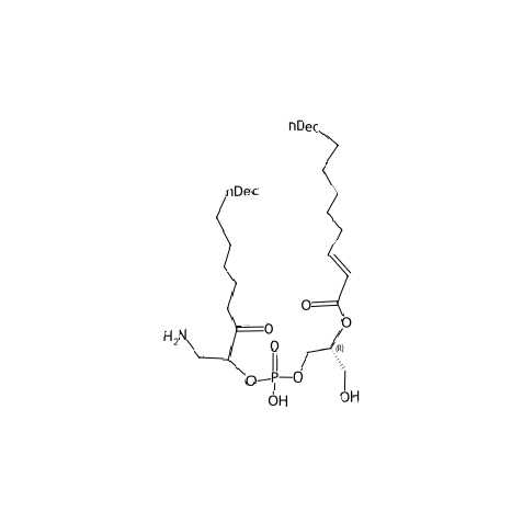 CCCCCCCCCCCCCCCC=CC(=O)O[C@H](CO)COP(=O)(O)OC(CN)C(=O)CCCCCCCCCCCCCCC